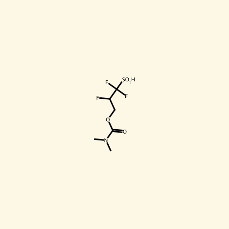 CN(C)C(=O)OCC(F)C(F)(F)S(=O)(=O)O